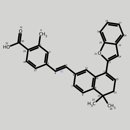 Cc1cc(/C=C/c2ccc3c(c2)C(c2cc4ccccc4o2)=CCC3(C)C)ccc1C(=O)O